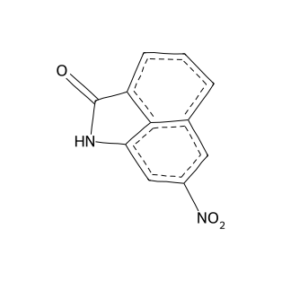 O=C1Nc2cc([N+](=O)[O-])cc3cccc1c23